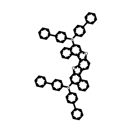 c1ccc(-c2ccc(N(c3ccc(-c4ccccc4)cc3)c3cc4oc5c(ccc6oc7cc(N(c8ccc(-c9ccccc9)cc8)c8ccc(-c9ccccc9)cc8)c8ccccc8c7c65)c4c4ccccc34)cc2)cc1